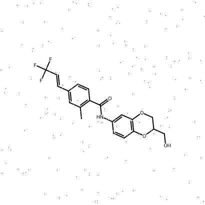 Cc1cc(C=CC(F)(F)F)ccc1C(=O)Nc1ccc2c(c1)OCC(CO)O2